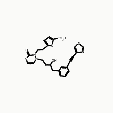 O=C(O)c1ccc(CCN2C(=O)SC=CN2CCC(O)Cc2cccc(C#Cc3cscn3)c2)s1